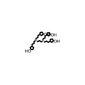 OC1CCC(CCCP(CCCC2CCC(O)C2)CCCP(CCCC2CCC(O)C2)CCCC2CCC(O)C2)C1